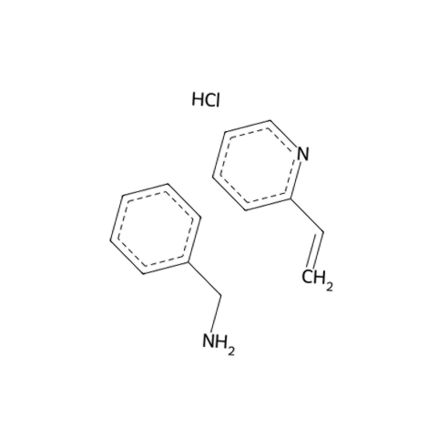 C=Cc1ccccn1.Cl.NCc1ccccc1